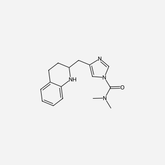 CN(C)C(=O)n1cnc(CC2CCc3ccccc3N2)c1